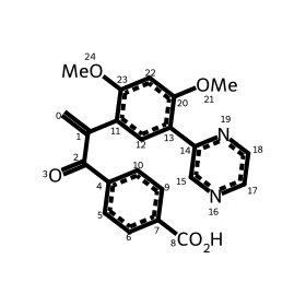 C=C(C(=O)c1ccc(C(=O)O)cc1)c1cc(-c2cnccn2)c(OC)cc1OC